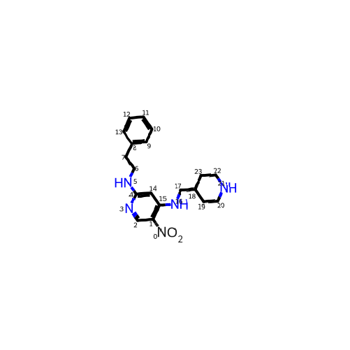 O=[N+]([O-])c1cnc(NCCc2ccccc2)cc1NCC1CCNCC1